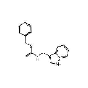 C=C(NCc1c[nH]c2ccccc12)SCc1ccccc1